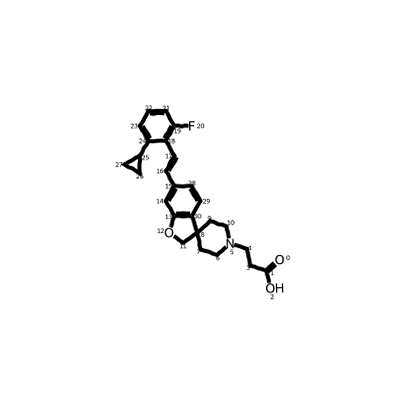 O=C(O)CCN1CCC2(CC1)COc1cc(/C=C/c3c(F)cccc3C3CC3)ccc12